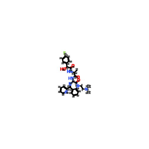 CCN(CC)CCN1C(=O)C(NC(=O)[C@H](C)NC(=O)C(O)c2ccc(F)cc2)N=C(c2ccccn2)c2ccccc21